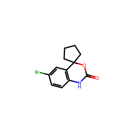 O=C1Nc2ccc(Br)cc2C2(CCCC2)O1